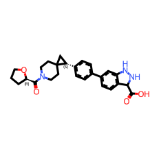 O=C(O)C1NNc2cc(-c3ccc([C@H]4CC45CCN(C(=O)[C@H]4CCCO4)CC5)cc3)ccc21